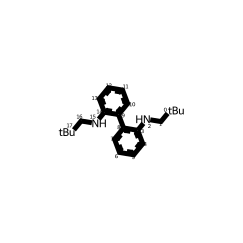 CC(C)(C)CNc1ccccc1-c1ccccc1NCC(C)(C)C